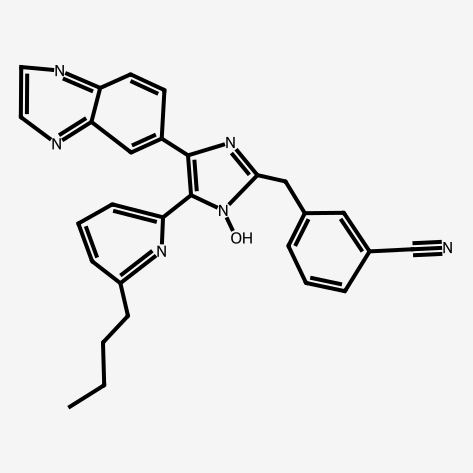 CCCCc1cccc(-c2c(-c3ccc4nccnc4c3)nc(Cc3cccc(C#N)c3)n2O)n1